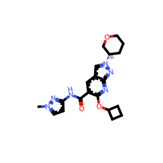 Cn1ccc(NC(=O)c2cc3cn([C@H]4CCCOC4)nc3nc2OC2CCC2)n1